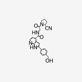 N#C[C@@H]1CCCN1C(=O)CNC(=O)c1ccnc2[nH]c(-c3ccc(CO)cc3)cc12